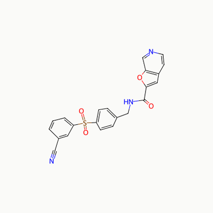 N#Cc1cccc(S(=O)(=O)c2ccc(CNC(=O)c3cc4ccncc4o3)cc2)c1